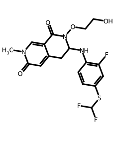 Cn1cc2c(cc1=O)CC(Nc1ccc(SC(F)F)cc1F)N(OCCO)C2=O